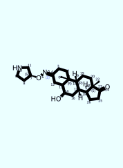 C[C@]12CC/C(=N/O[C@H]3CCNC3)CC1C(O)C[C@@H]1[C@H]2CC[C@]2(C)C(=O)CC[C@@H]12